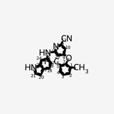 Cc1cccc(C)c1Oc1cc(C#N)nc(Nc2ccc3cc[nH]c3c2)c1